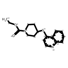 CCOC(=O)N1CCC(Sc2ccnc3ccccc23)CC1